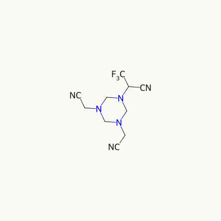 N#CCN1CN(CC#N)CN(C(C#N)C(F)(F)F)C1